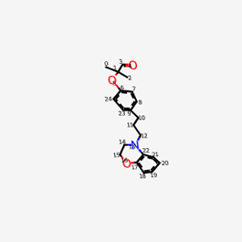 CC(C)(C=O)Oc1ccc(CCCN2CCOc3ccccc32)cc1